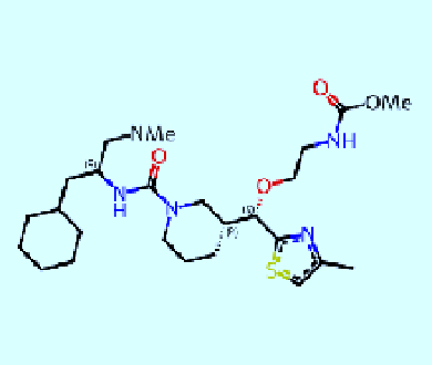 CNC[C@H](CC1CCCCC1)NC(=O)N1CCC[C@@H]([C@H](OCCNC(=O)OC)c2nc(C)cs2)C1